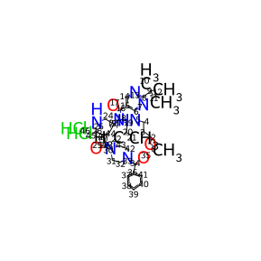 COCCCNc1nc(C(C)(C)C)ncc1C(=O)N(CC(C)C)[C@@H]1CNC[C@H](C(=O)N2CCN(C(=O)c3ccccc3)CC2)C1.Cl.Cl